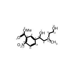 COC(=O)c1cc(C(O)CN(C)CCO)ccc1[N+](=O)[O-]